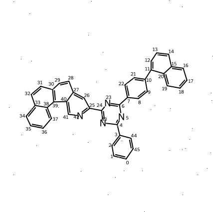 c1ccc(-c2nc(-c3ccc(-c4cccc5ccccc45)cc3)nc(-c3cc4ccc5ccc6ccccc6c5c4cn3)n2)cc1